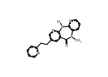 CCN1c2ncc(CCc3ccccn3)cc2C(=O)N(C)c2cccnc21